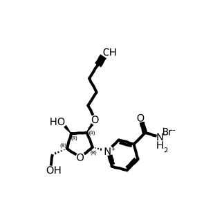 C#CCCCO[C@@H]1[C@H](O)[C@@H](CO)O[C@H]1[n+]1cccc(C(N)=O)c1.[Br-]